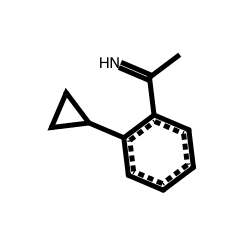 CC(=N)c1ccccc1C1CC1